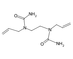 C=CCN(CCN(CC=C)C(N)=O)C(N)=O